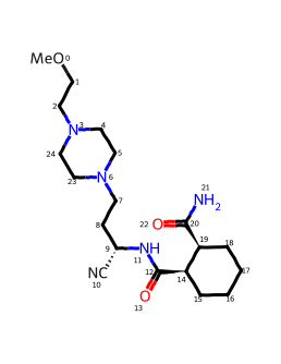 COCCN1CCN(CC[C@@H](C#N)NC(=O)[C@@H]2CCCC[C@@H]2C(N)=O)CC1